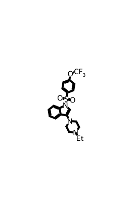 CCN1CCN(c2cn(S(=O)(=O)c3ccc(OC(F)(F)F)cc3)c3ccccc23)CC1